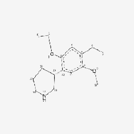 CCOc1cc(CC)c(OC)cc1[C@H]1CCCNC1